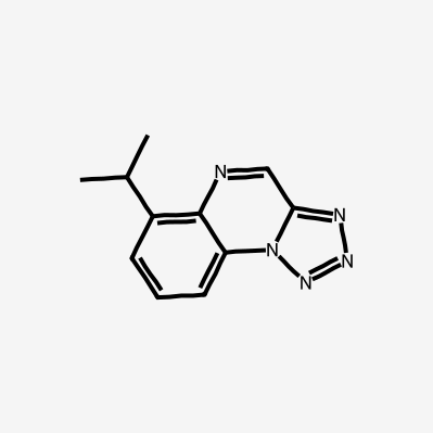 CC(C)c1cccc2c1ncc1nnnn12